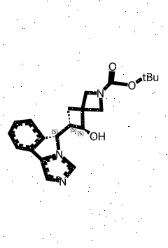 CC(C)(C)OC(=O)N1CC2(C[C@@H]([C@H]3c4ccccc4-c4cncn43)[C@@H]2O)C1